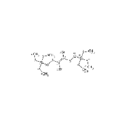 CC[Si](CC)(CC)OCC(Br)=C(Br)CO[Si](CC)(CC)CC